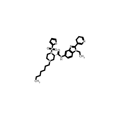 CCCCCCCN1CCN(S(=O)(=O)c2cccs2)[C@H](C(=O)Nc2ccc3c(c2)nc(C2=CN=CCC2)n3CC)C1